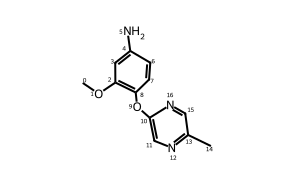 COc1cc(N)ccc1Oc1cnc(C)cn1